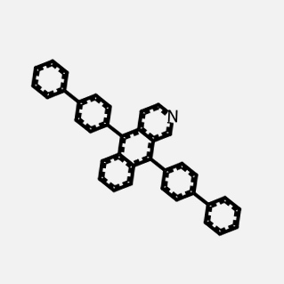 c1ccc(-c2ccc(-c3c4ccccc4c(-c4ccc(-c5ccccc5)cc4)c4cnccc34)cc2)cc1